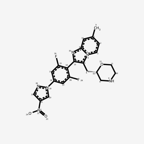 Cc1ccn2c(C[C@H]3CNCCO3)c(-c3c(F)cc(-n4cc([N+](=O)[O-])cn4)cc3F)nc2c1